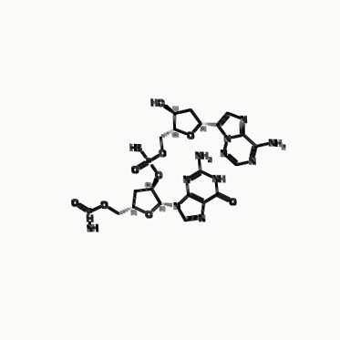 Nc1nc2c(ncn2[C@@H]2O[C@H](CO[PH](=O)S)C[C@H]2OP(=O)(S)OC[C@H]2O[C@@H](c3cnc4c(N)ncnn34)C[C@@H]2O)c(=O)[nH]1